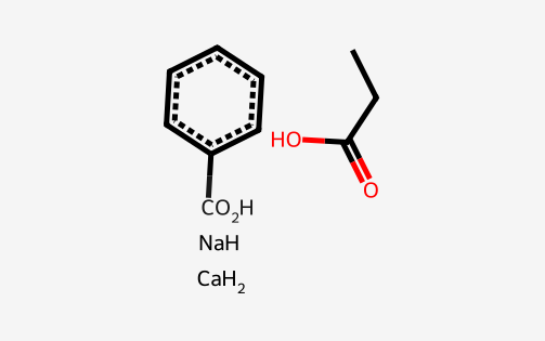 CCC(=O)O.O=C(O)c1ccccc1.[CaH2].[NaH]